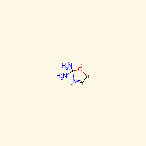 NC1(N)N=CCO1